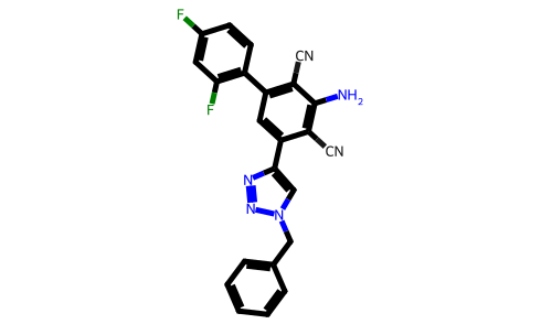 N#Cc1c(-c2cn(Cc3ccccc3)nn2)cc(-c2ccc(F)cc2F)c(C#N)c1N